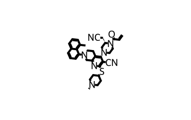 C=CC(=O)N1CCN(c2c(C#N)c(SC3CCN(C)CC3)nc3c2CCN(c2cccc4cccc(C)c24)C3)C[C@@H]1CC#N